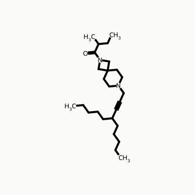 CCCCCC(C#CCN1CCC2(CC1)CN(C(=O)C(C)CC)C2)CCCCC